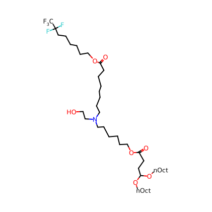 CCCCCCCCOC(CCC(=O)OCCCCCCN(CCO)CCCCCCCC(=O)OCCCCCCC(F)(F)C(F)(F)F)OCCCCCCCC